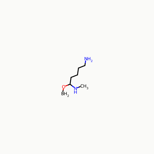 BOC(CCCCN)NC